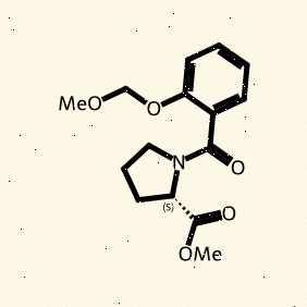 COCOc1ccccc1C(=O)N1CCC[C@H]1C(=O)OC